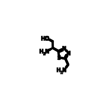 NCc1nnc([C@@H](N)CO)s1